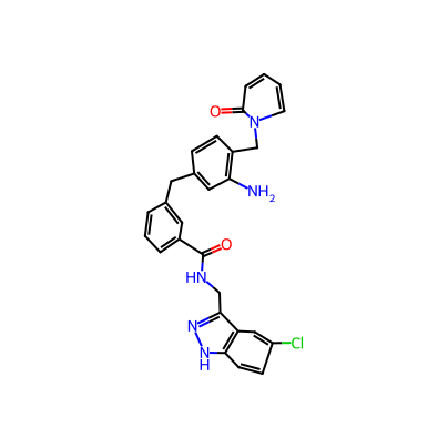 Nc1cc(Cc2cccc(C(=O)NCc3n[nH]c4ccc(Cl)cc34)c2)ccc1Cn1ccccc1=O